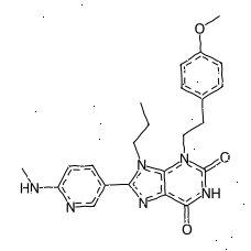 CCCn1c(-c2ccc(NC)nc2)nc2c(=O)[nH]c(=O)n(CCc3ccc(OC)cc3)c21